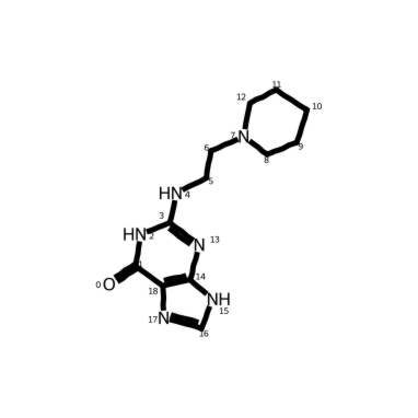 O=c1[nH]c(NCCN2CCCCC2)nc2[nH]cnc12